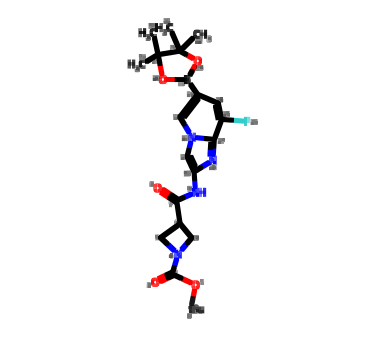 CC(C)(C)OC(=O)N1CC(C(=O)Nc2cn3cc(B4OC(C)(C)C(C)(C)O4)cc(F)c3n2)C1